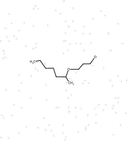 CCCCCC(C)OCCC[O]